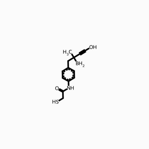 BC(C)(C#CO)Cc1ccc(NC(=O)CS)cc1